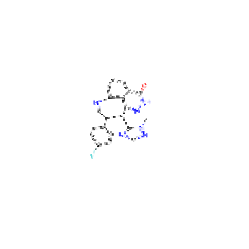 Cn1ncnc1C1c2n[nH]c(=O)c3cccc(c23)N=CC1c1ccc(F)cc1